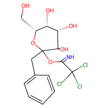 N=C(OC1(Cc2ccccc2)O[C@H](CO)[C@H](O)[C@H](O)[C@H]1O)C(Cl)(Cl)Cl